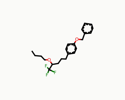 CCCCOC(CCCc1ccc(OCc2ccccc2)cc1)C(F)(F)F